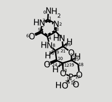 Nc1nc2c(c(=O)[nH]1)N[C@H]1C(=O)[C@H]3OP(=O)(O)OC[C@H]3O[C@H]1N2